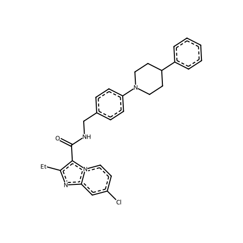 CCc1nc2cc(Cl)ccn2c1C(=O)NCc1ccc(N2CCC(c3ccccc3)CC2)cc1